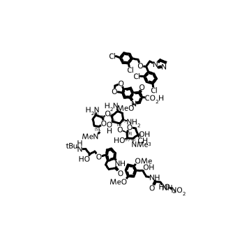 CC(C)(C)NCC(O)COc1cccc2c1CCC(=O)N2.CNC[C@@H]1CC[C@@H](N)[C@@H](O[C@H]2[C@H](O)[C@@H](O[C@H]3OC[C@](C)(O)[C@H](NC)[C@H]3O)[C@H](N)C[C@@H]2N)O1.COc1ccc(OC)c(C(O)CNC(=O)CN)c1.COn1cc(C(=O)O)c(=O)c2cc3c(cc21)OCO3.Clc1ccc(COC(Cn2ccnc2)c2ccc(Cl)cc2Cl)c(Cl)c1.O=[N+]([O-])O